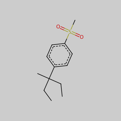 CCC(C)(CC)c1ccc(S(C)(=O)=O)cc1